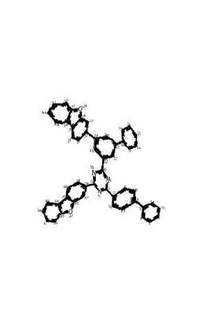 c1ccc(-c2ccc(-c3nc(-c4cc(-c5ccccc5)cc(-c5ccc6c(c5)oc5ccccc56)c4)nc(-c4ccc5c(c4)oc4ccccc45)n3)cc2)cc1